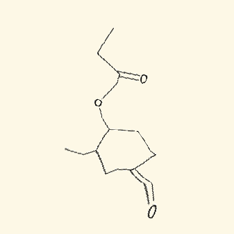 CCC(=O)OC1CCC(=O)CC1C